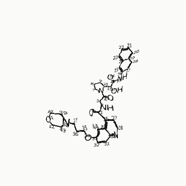 O=C(NCC(=O)N1CCCC1C(O)C(=O)Nc1ccc2ccccc2c1)c1ccnc2ccc(OCCCN3CCOCC3)cc12